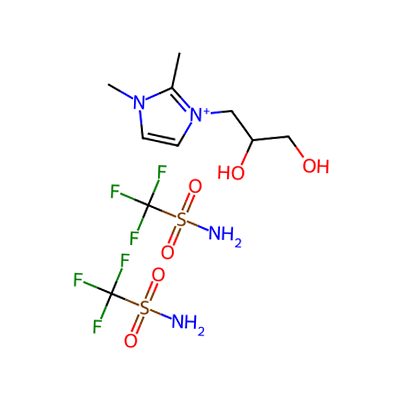 Cc1n(C)cc[n+]1CC(O)CO.NS(=O)(=O)C(F)(F)F.NS(=O)(=O)C(F)(F)F